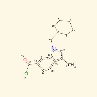 Cc1cn(CC2CCCCC2)c2cc(C(=O)Cl)ccc12